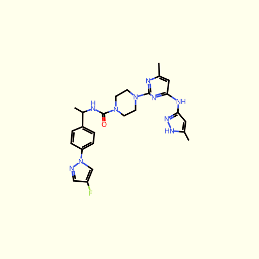 Cc1cc(Nc2cc(C)[nH]n2)nc(N2CCN(C(=O)NC(C)c3ccc(-n4cc(F)cn4)cc3)CC2)n1